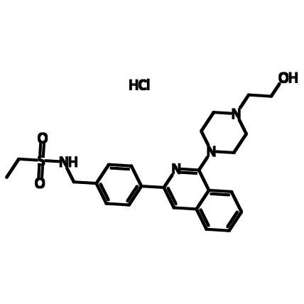 CCS(=O)(=O)NCc1ccc(-c2cc3ccccc3c(N3CCN(CCO)CC3)n2)cc1.Cl